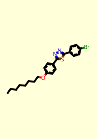 CCCCCCCCOc1ccc(-c2nnc(-c3ccc(Br)cc3)s2)cc1